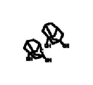 OC12CC3CC(C1)CC(O)(C3)C2.OC12CC3CC(C1)CC(O)(C3)C2